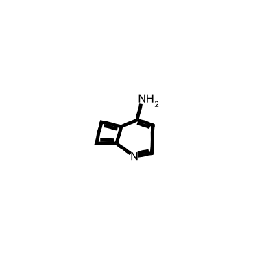 Nc1ccnc2c1=CC=2